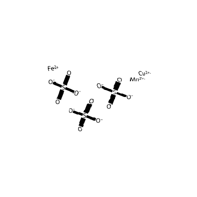 O=S(=O)([O-])[O-].O=S(=O)([O-])[O-].O=S(=O)([O-])[O-].[Cu+2].[Fe+2].[Mn+2]